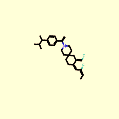 C=C(c1ccc(C(C)C(C)C)cc1)N1CCC2(CCC(=C/C(F)=C\C)/C(=C/F)C2)CC1